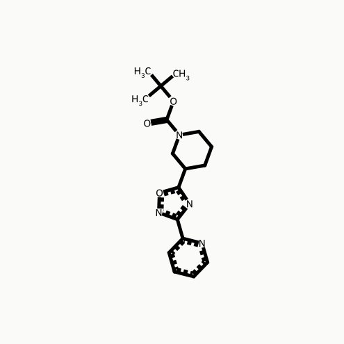 CC(C)(C)OC(=O)N1CCCC(c2nc(-c3ccccn3)no2)C1